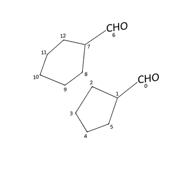 O=CC1CCCC1.O=CC1CCCCC1